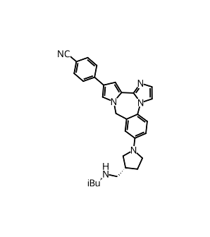 CC[C@@H](C)NC[C@H]1CCN(c2ccc3c(c2)Cn2cc(-c4ccc(C#N)cc4)cc2-c2nccn2-3)C1